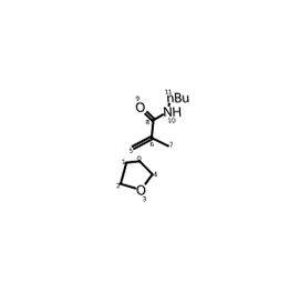 C1CCOC1.C=C(C)C(=O)NCCCC